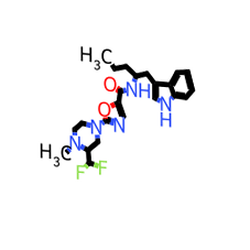 CCCC(Cc1c[nH]c2ccccc12)NC(=O)c1cnc(N2CCN(C)C(C(F)F)C2)o1